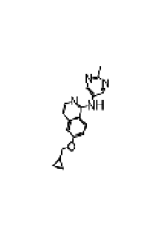 Cc1ncc(Nc2nccc3cc(OCC4CC4)ccc23)cn1